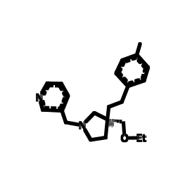 CCOC[C@]1(CCc2ccc(C)cc2)CCN(Cc2cccnc2)C1